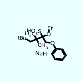 CCOC(COc1ccccc1)(C(C)(C)CC(C)(C)C)S(=O)(=O)O.[NaH]